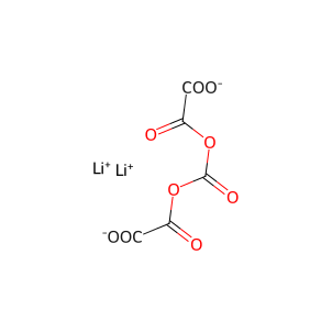 O=C(OC(=O)C(=O)[O-])OC(=O)C(=O)[O-].[Li+].[Li+]